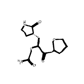 NC(=O)OC(C[C@@H]1CCNC1=O)C(=O)C1CCCO1